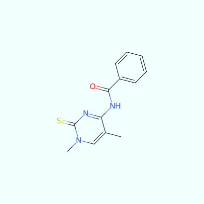 Cc1cn(C)c(=S)nc1NC(=O)c1ccccc1